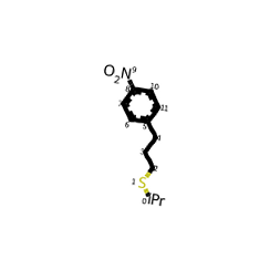 CC(C)SCCCc1ccc([N+](=O)[O-])cc1